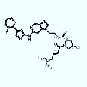 CN(C)C/C=C/C(=O)N1C[C@H](O)C[C@H]1C(=O)NCCn1cnc2cnc(Nc3ncc(-c4ncccc4F)s3)cc21